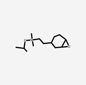 CC(C)O[Si](C)(C)CCC1CCC2OC2C1